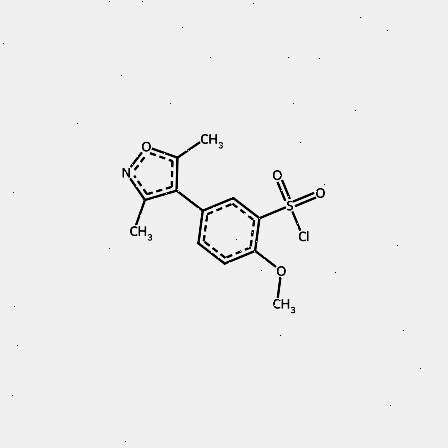 COc1ccc(-c2c(C)noc2C)cc1S(=O)(=O)Cl